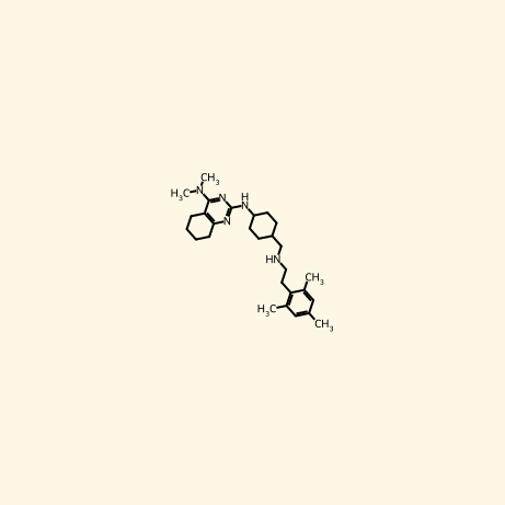 Cc1cc(C)c(CCNCC2CCC(Nc3nc4c(c(N(C)C)n3)CCCC4)CC2)c(C)c1